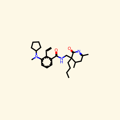 C=Cc1c(C(=O)NCC2(CCCC)C(=O)N=C(C)CC2C)cccc1N(C)C1CCCC1